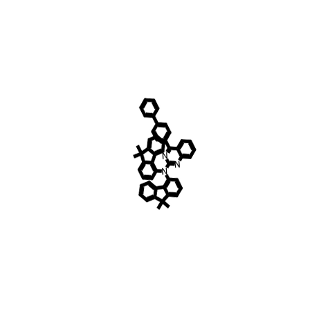 CC1(C)c2ccccc2-c2c(N(c3nc(-c4ccc(-c5ccccc5)cc4)c4ccccc4n3)c3cccc4c3-c3ccccc3C4(C)C)cccc21